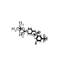 CC(C)(C)OC(=O)N1CCC(CS(=O)(=O)c2cc(F)cc(C(F)(F)F)c2)CC1